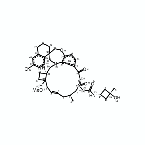 CO[C@H]1/C=C/C[C@H](C)CS(=O)(NC(=O)N[C@H]2C[C@@](C)(O)C2)=NC(=O)c2ccc3c(c2)N(C[C@@H]2CC[C@H]21)C[C@@]1(CCCc2cc(Cl)ccc21)CO3